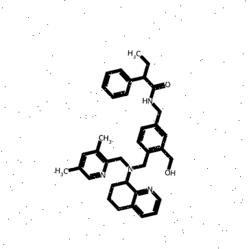 CCC(C(=O)NCc1ccc(CN(Cc2ncc(C)cc2C)C2CCCc3cccnc32)c(CO)c1)c1ccccc1